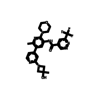 Cc1nc(N2CCOCC2)c(NC(=O)c2cnnc(C(F)(F)F)c2)cc1-c1ccnc(N2CC(C)(O)C2)c1